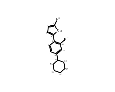 Fc1ccc(-c2ccc(C3CCCCC3)cc2F)s1